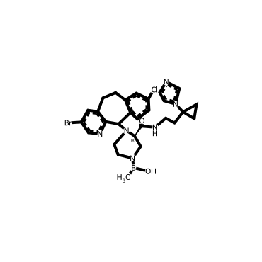 CB(O)N1CCN(C2c3ccc(Cl)cc3CCc3cc(Br)cnc32)[C@@H](C(=O)NCCC2(n3ccnc3)CC2)C1